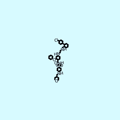 O=C(NS(=O)(=O)c1ccc(NCC2=CCOC=C2)cc1)c1ccc(NCCNCc2ccccc2-c2ccc(Cl)cc2)cc1Oc1ccccc1